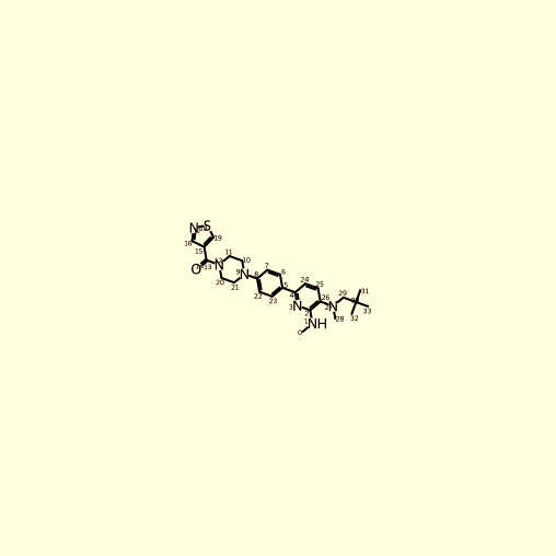 CNc1nc(-c2ccc(N3CCN(C(=O)c4cnsc4)CC3)cc2)ccc1N(C)CC(C)(C)C